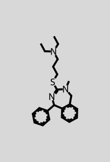 CCN(CC)CCCSC1=NC(c2ccccc2)c2ccccc2CN1C